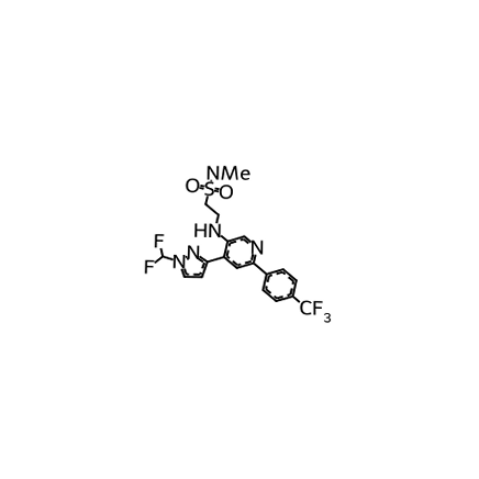 CNS(=O)(=O)CCNc1cnc(-c2ccc(C(F)(F)F)cc2)cc1-c1ccn(C(F)F)n1